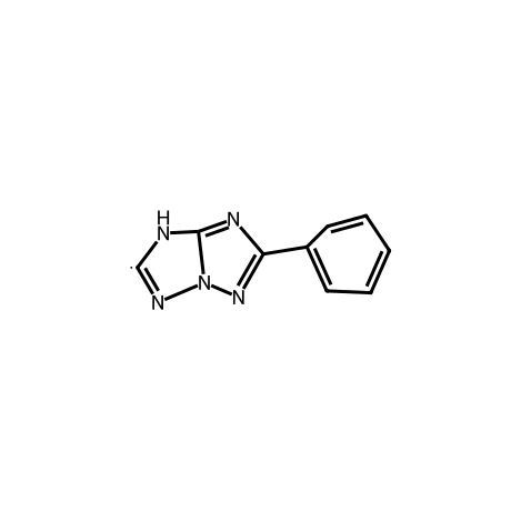 [c]1nn2nc(-c3ccccc3)nc2[nH]1